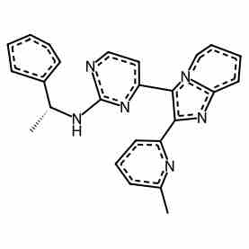 Cc1cccc(-c2nc3ccccn3c2-c2ccnc(N[C@H](C)c3ccccc3)n2)n1